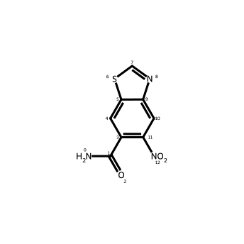 NC(=O)c1cc2scnc2cc1[N+](=O)[O-]